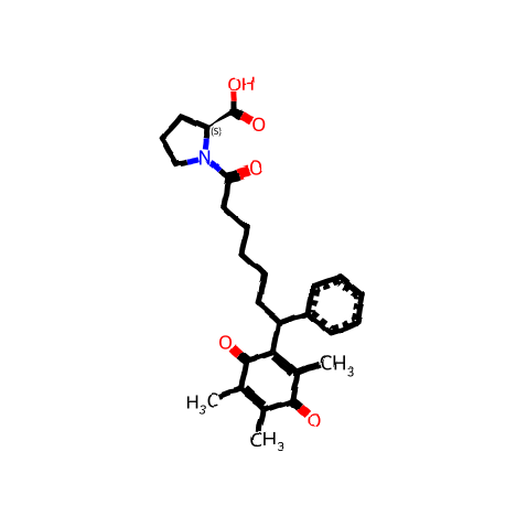 CC1=C(C)C(=O)C(C(CCCCCC(=O)N2CCC[C@H]2C(=O)O)c2ccccc2)=C(C)C1=O